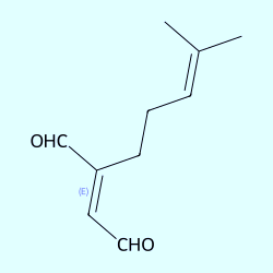 CC(C)=CCC/C(C=O)=C\C=O